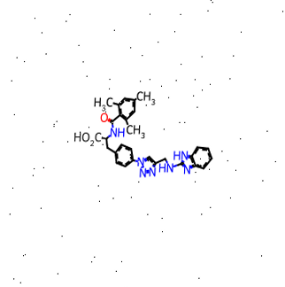 Cc1cc(C)c(C(=O)N[C@@H](Cc2ccc(-n3cc(CNc4nc5ccccc5[nH]4)nn3)cc2)C(=O)O)c(C)c1